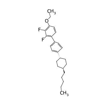 CCCCC[C@H]1CC[C@H](c2ccc(-c3ccc(OCC)c(F)c3F)cc2)CC1